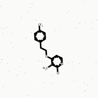 Cc1c(OCCc2ccc(C(F)(F)F)cc2)ccnc1Cl